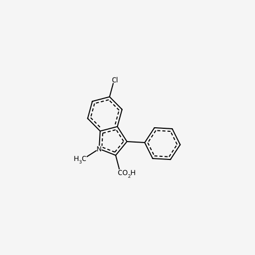 Cn1c(C(=O)O)c(-c2ccccc2)c2cc(Cl)ccc21